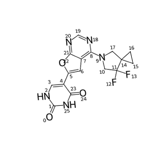 O=c1[nH]cc(-c2cc3c(N4CC(F)(F)C5(CC5)C4)ncnc3o2)c(=O)[nH]1